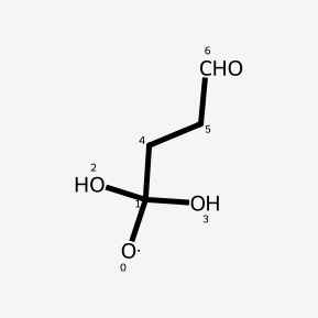 [O]C(O)(O)CCC=O